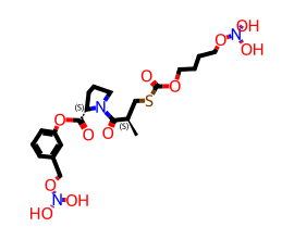 C[C@H](CSC(=O)OCCCCON(O)O)C(=O)N1CCC[C@H]1C(=O)Oc1cccc(CON(O)O)c1